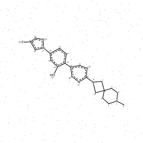 CN1CCC2(CC1)CN(c1ncc(-c3ccc(-n4cc(F)cn4)cc3O)nn1)C2